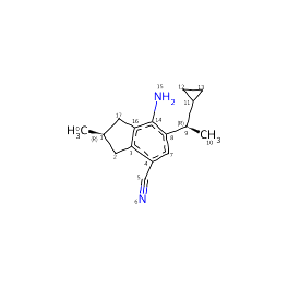 C[C@@H]1Cc2c(C#N)cc([C@H](C)C3CC3)c(N)c2C1